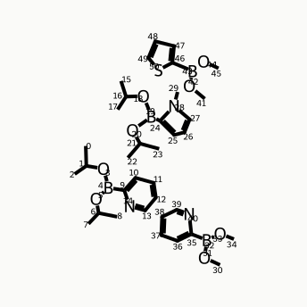 CC(C)OB(OC(C)C)c1ccccn1.CC(C)OB(OC(C)C)c1cccn1C.COB(OC)c1ccccn1.COB(OC)c1cccs1